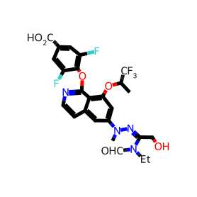 CCN(C=O)/C(CO)=N\N(C)c1cc(OC(C)C(F)(F)F)c2c(Oc3c(F)cc(C(=O)O)cc3F)nccc2c1